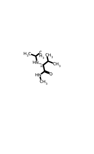 CNC(=O)[C@H](NC(C)C)C(C)C